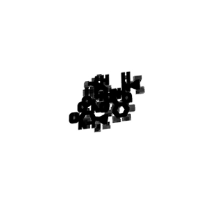 CC1(C)[C@@H]2[C@@H](C(=O)NC(CC3CC3)C(=O)C(N)=O)N(C(=O)[C@@H](NC(=O)NC3CC3)C3CCCCC3)C[C@@H]21